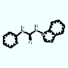 O=C(Nc1ccccc1)Nn1ccc2ccccc21